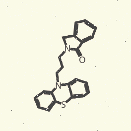 O=C1c2ccccc2CN1CCCN1c2ccccc2Sc2ccccc21